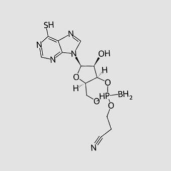 B[PH]1(OCCC#N)OC[C@H]2O[C@@H](n3cnc4c(S)ncnc43)[C@@H](O)[C@H]2O1